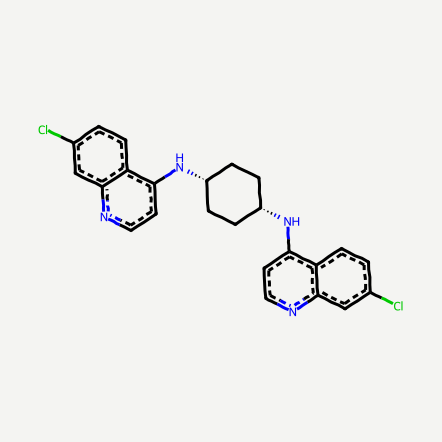 Clc1ccc2c(N[C@H]3CC[C@@H](Nc4ccnc5cc(Cl)ccc45)CC3)ccnc2c1